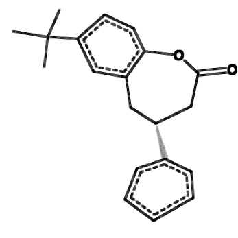 CC(C)(C)c1ccc2c(c1)C[C@@H](c1ccccc1)CC(=O)O2